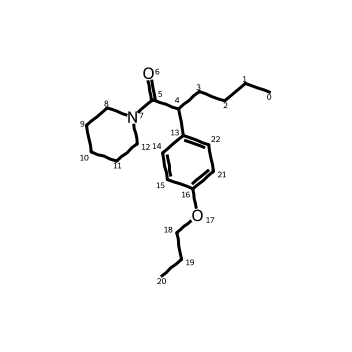 CCCCC(C(=O)N1CCCCC1)c1ccc(OCCC)cc1